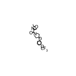 Cc1nc(C(=O)N2CCC(Oc3cccc(OC(F)(F)F)c3)CC2)co1